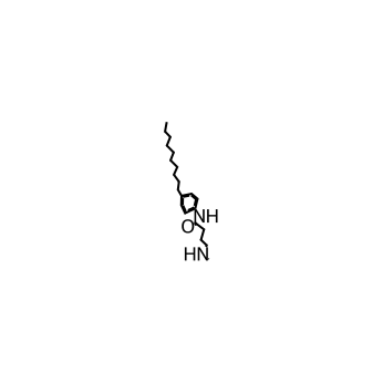 CCCCCCCCCCc1ccc(NC(=O)CCCNC)cc1